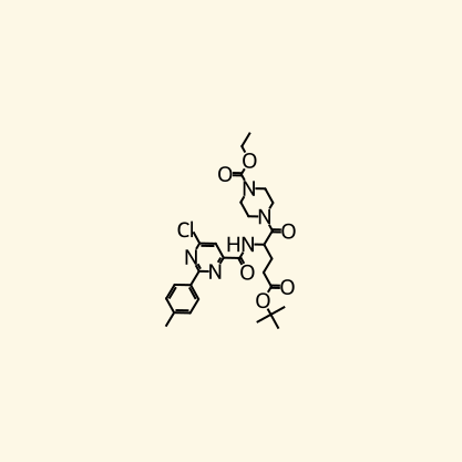 CCOC(=O)N1CCN(C(=O)C(CCC(=O)OC(C)(C)C)NC(=O)c2cc(Cl)nc(-c3ccc(C)cc3)n2)CC1